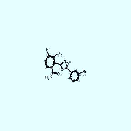 NC(=O)c1ccc(F)c(C(F)(F)F)c1-c1nnc(-c2cccc(Br)c2)o1